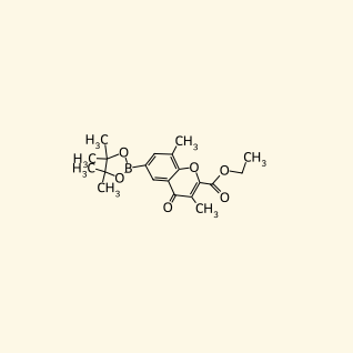 CCOC(=O)c1oc2c(C)cc(B3OC(C)(C)C(C)(C)O3)cc2c(=O)c1C